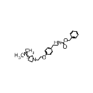 CN(C)[C@H]1CCN(CCOc2ccc(CCNC(=O)OCc3ccccc3)cc2)C1